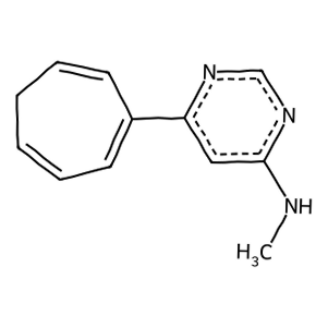 CNc1cc(C2=CC=CCC=C2)ncn1